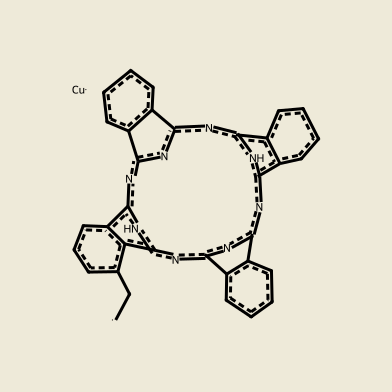 [CH2]Cc1cccc2c3nc4nc(nc5[nH]c(nc6nc(nc([nH]3)c12)-c1ccccc1-6)c1ccccc51)-c1ccccc1-4.[Cu]